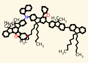 CCCCCCCC1(CCCCCCC)c2ccccc2-c2ccc(-c3ccc4c(c3)C(C)(C)c3cc(-c5cc6c(c7c5oc5ccccc57)-c5ccc(N(c7ccc8c(c7)C(C)(C)c7c9c(c%10oc%11ccccc%11c%10c7-8)-c7ccccc7C9(C)C)c7cccc8ccccc78)cc5C6(CCCCCCC)CCCCCCC)ccc3-4)cc21